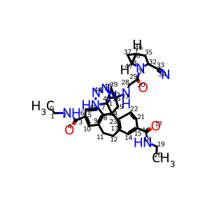 CCNC(=O)c1ccc2c(c1)CCc1cc(C(=O)NCC)ccc1C2(CC1(NCC(=O)N2C(C#N)C[C@@H]3C[C@@H]32)CC1)c1nnn[nH]1